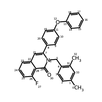 Cc1ccc(Cn2c(-c3ccc(Oc4ccccc4)cc3)cc3cccc(F)c3c2=O)c(C)c1